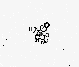 NC(=O)C(=O)C(Cc1ccccc1)NC(=O)c1ocnc1-c1ccccn1